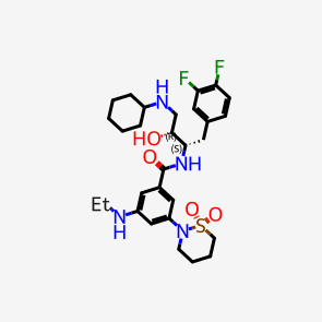 CCNc1cc(C(=O)N[C@@H](Cc2ccc(F)c(F)c2)[C@H](O)CNC2CCCCC2)cc(N2CCCCS2(=O)=O)c1